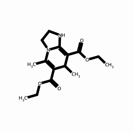 CCOC(=O)C1=C(C)N2CCNC2=C(C(=O)OCC)C1C